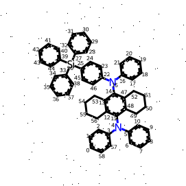 c1ccc(N(c2ccccc2)c2c3c(c(N(c4ccccc4)c4ccc([Si](c5ccccc5)(c5ccccc5)c5ccccc5)cc4)c4c2CCCC4)CCCC3)cc1